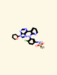 CCCS(=O)(=O)Nc1ccc(F)c(Nc2ncccc2-c2ncnc3c2ncn3C2CCCCO2)c1